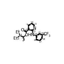 CCN(CC)C(C)OC(=O)c1cccnc1Nc1cccc(C(F)(F)F)c1